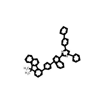 CC1(C)c2cccc(-c3ccc(-c4ccc(-c5nc(-c6ccccc6)cc(-c6ccc(-c7ccccc7)cc6)n5)c5ccccc45)cc3)c2-c2ccc3ccccc3c21